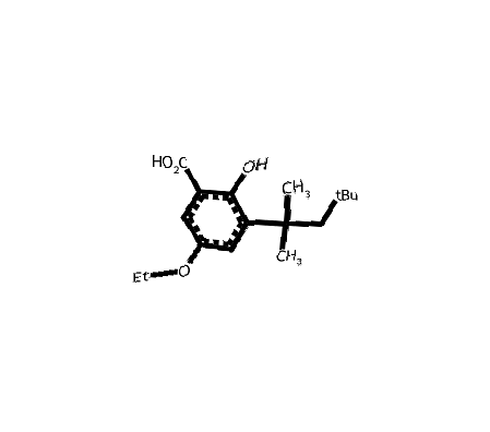 CCOc1cc(C(=O)O)c(O)c(C(C)(C)CC(C)(C)C)c1